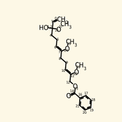 C=CC(O)(CCC=C(CCC=C(COC(=O)c1ccccc1)OC)OC)OC